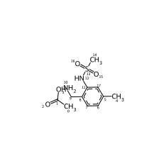 CC(=O)O.Cc1ccc(CN)c(NS(C)(=O)=O)c1